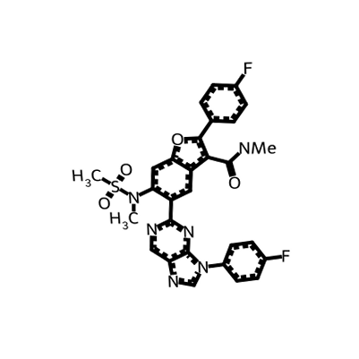 CNC(=O)c1c(-c2ccc(F)cc2)oc2cc(N(C)S(C)(=O)=O)c(-c3ncc4ncn(-c5ccc(F)cc5)c4n3)cc12